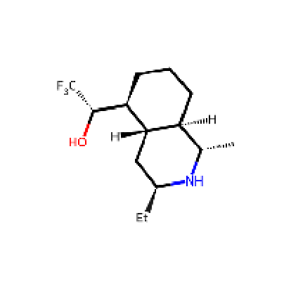 CC[C@H]1C[C@H]2[C@@H](CCC[C@@H]2[C@H](O)C(F)(F)F)[C@H](C)N1